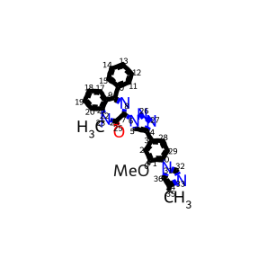 COc1cc(-c2cn(C3N=C(c4ccccc4)c4ccccc4N(C)C3=O)nn2)ccc1-n1cnc(C)c1